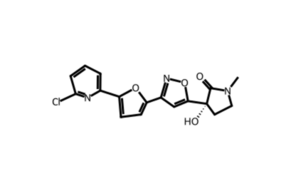 CN1CC[C@@](O)(c2cc(-c3ccc(-c4cccc(Cl)n4)o3)no2)C1=O